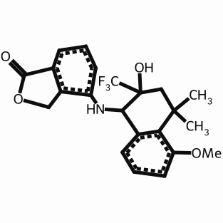 COc1cccc2c1C(C)(C)CC(O)(C(F)(F)F)C2Nc1cccc2c1COC2=O